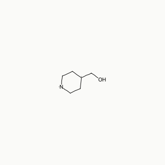 OC[C]1CC[N]CC1